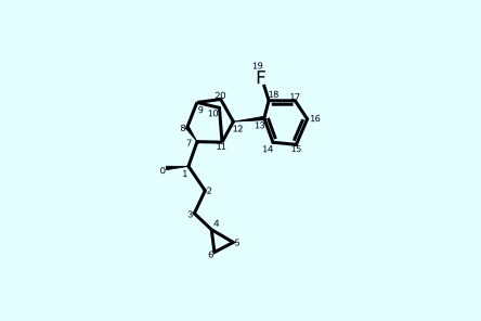 C[C@H](CCC1CC1)[C@H]1CC2CC1[C@H](c1ccccc1F)C2